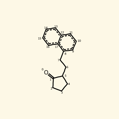 O=C1CCCC1CCc1cccc2ccccc12